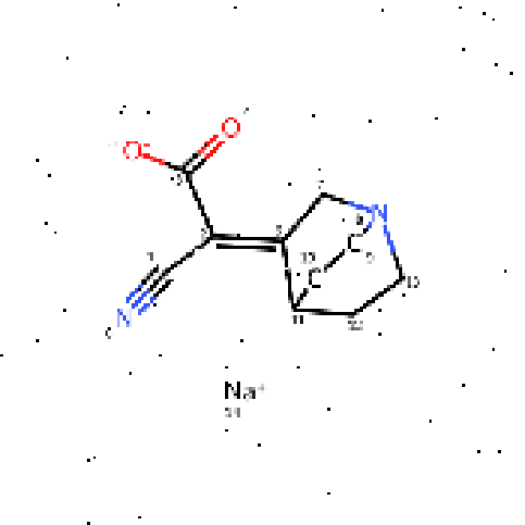 N#CC(C(=O)[O-])=C1CN2CCC1CC2.[Na+]